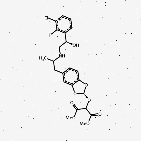 COC(=O)C(O[C@@H]1Oc2ccc(CC(C)NC[C@H](O)c3cccc(Cl)c3F)cc2O1)C(=O)OC